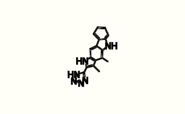 Cc1c(-c2nnn[nH]2)[nH]c2cc3c([nH]c4ccccc43)c(C)c12